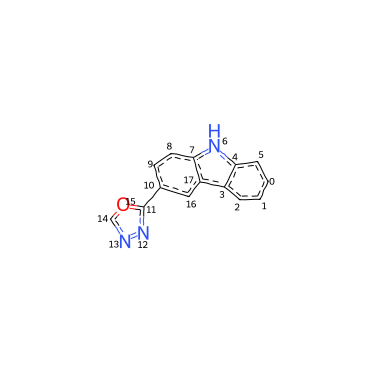 c1ccc2c(c1)[nH]c1ccc(-c3nnco3)cc12